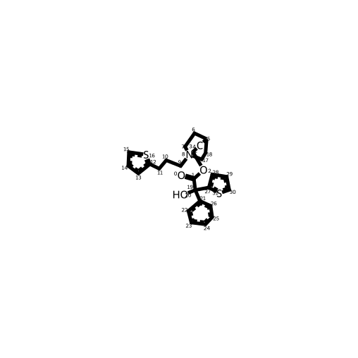 O=C(OC1CC2CC[N+]1(CCCc1cccs1)CC2)C(O)(c1ccccc1)c1cccs1